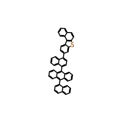 c1ccc2c(-c3c4ccccc4c(-c4ccc(-c5ccc6c(c5)sc5ccc7ccccc7c56)c5ccccc45)c4ccccc34)cccc2c1